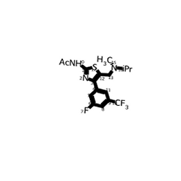 CC(=O)Nc1nc(-c2cc(F)cc(C(F)(F)F)c2)c(CN(C)C(C)C)s1